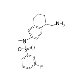 CN(c1ccc2c(c1)CCCC2CN)S(=O)(=O)c1cccc(F)c1